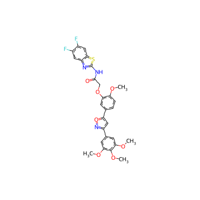 COc1ccc(-c2cc(-c3cc(OC)c(OC)c(OC)c3)no2)cc1OCC(=O)Nc1nc2cc(F)c(F)cc2s1